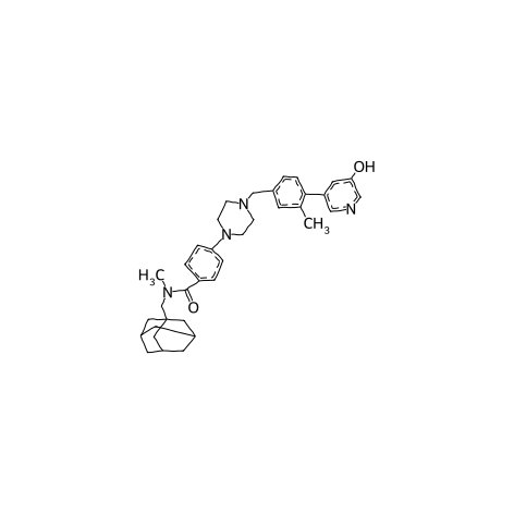 Cc1cc(CN2CCN(c3ccc(C(=O)N(C)CC45CC6CC(CC(C6)C4)C5)cc3)CC2)ccc1-c1cncc(O)c1